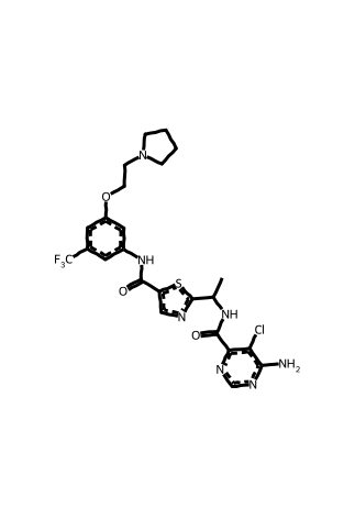 CC(NC(=O)c1ncnc(N)c1Cl)c1ncc(C(=O)Nc2cc(OCCN3CCCC3)cc(C(F)(F)F)c2)s1